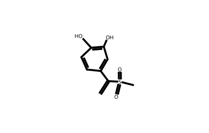 C=C(c1ccc(O)c(O)c1)S(C)(=O)=O